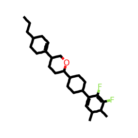 CCCC1CC=C(C2CCC(C3CCC(C4=CC(C)C(C)C(F)=C4F)CC3)OC2)CC1